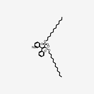 CCCCCCCCCCCCOS(=O)(=O)C(=C(c1ccccc1)c1ccccc1)S(=O)(=O)OCCCCCCCCCCCC.[NaH]